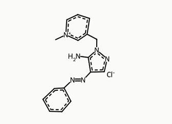 C[n+]1cccc(Cn2ncc(N=Nc3ccccc3)c2N)c1.[Cl-]